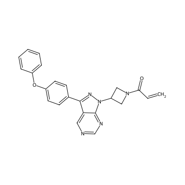 C=CC(=O)N1CC(n2nc(-c3ccc(Oc4ccccc4)cc3)c3cncnc32)C1